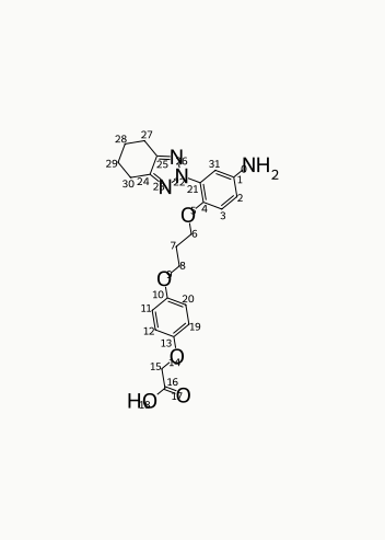 Nc1ccc(OCCCOc2ccc(OCC(=O)O)cc2)c(-n2nc3c(n2)CCCC3)c1